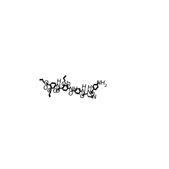 C=CCOC(=O)c1ccc(NC(=O)c2ccc(NC(=O)c3ccc(NC(=O)[C@H](CC#N)NC(=O)c4ccc(N)cc4)cc3)c(OC)c2OCC=C)c(OC)c1OCC=C